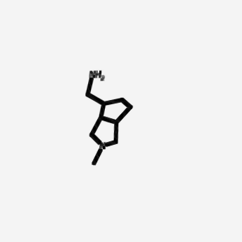 CN1CC2CCC(CN)C2C1